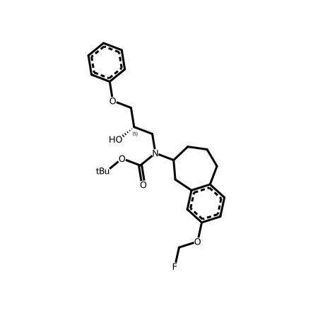 CC(C)(C)OC(=O)N(C[C@H](O)COc1ccccc1)C1CCCc2ccc(OCF)cc2C1